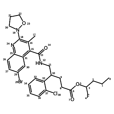 CCCC(F)OC(=O)CCC(CNC(=O)c1c(C)c(N2CCCO2)nc2ccc(Br)cc12)c1ccccc1Cl